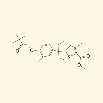 CCC(CC)(c1ccc(OCC(=O)C(C)(C)C)c(C)c1)C1CC(C)=C(C(=O)OC)S1